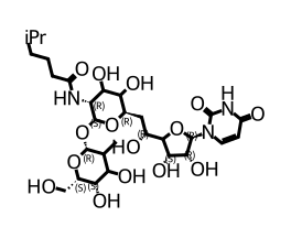 CC(C)CCCC(=O)N[C@@H]1C(O)C(O)[C@@H](C[C@@H](O)C2O[C@@H](n3ccc(=O)[nH]c3=O)[C@H](O)[C@@H]2O)O[C@H]1O[C@H]1O[C@@H](CO)[C@@H](O)C(O)C1C